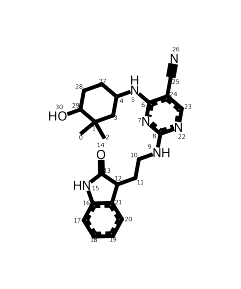 CC1(C)CC(Nc2nc(NCCC3C(=O)Nc4ccccc43)ncc2C#N)CCC1O